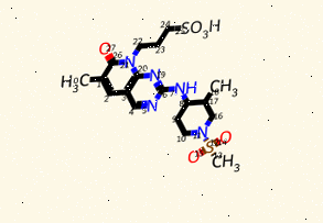 Cc1cc2cnc(NC3CCN(S(C)(=O)=O)CC3C)nc2n(CCCS(=O)(=O)O)c1=O